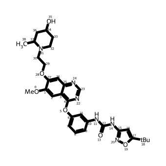 COc1cc2c(Oc3cccc(NC(=O)Nc4cc(C(C)(C)C)on4)c3)ncnc2cc1OCCN1CCC(O)CC1C